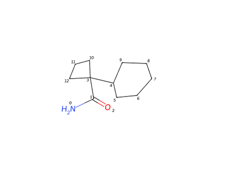 NC(=O)C1(C2CCCCC2)CCC1